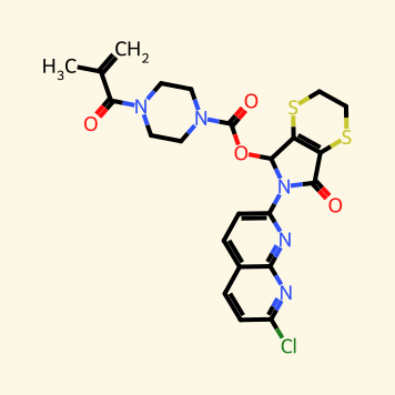 C=C(C)C(=O)N1CCN(C(=O)OC2C3=C(SCCS3)C(=O)N2c2ccc3ccc(Cl)nc3n2)CC1